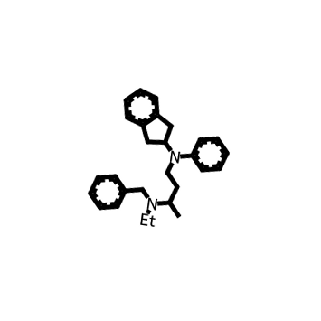 CCN(Cc1ccccc1)C(C)CCN(c1ccccc1)C1Cc2ccccc2C1